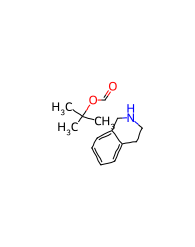 CC(C)(C)OC=O.c1ccc2c(c1)CCNC2